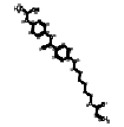 C=CC(=O)OCCCCCCOc1ccc(C(=O)Oc2ccc(OC(C)O)cc2)cc1